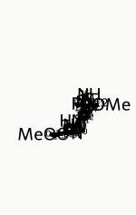 COCCOc1cnc2c(Nc3ccc(F)c([C@]4(CF)C[C@](C)(COC)SC(N)=N4)c3)ncnc2c1